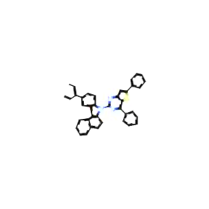 C=C/C(=C\C)c1ccc2c(c1)c1c3ccccc3ccc1n2-c1nc(-c2ccccc2)c2sc(-c3ccccc3)cc2n1